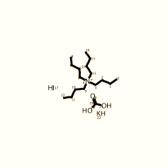 CCCC[N+](CCCC)(CCCC)CCCC.I.O=C(O)O.[KH]